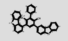 N#Cc1c(-c2ccc3sc4ccccc4c3c2)cc(-c2cccc3sc4ccccc4c23)c(C#N)c1-c1ccccc1